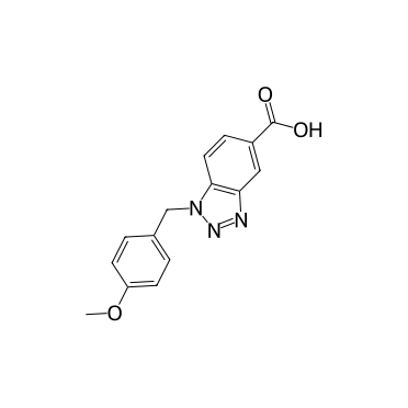 COc1ccc(Cn2nnc3cc(C(=O)O)ccc32)cc1